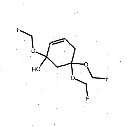 OC1(OCF)C=CCC(OCF)(OCF)C1